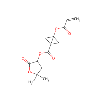 C=CC(=O)OC12CC1(C(=O)OC1CC(C)(C)OC1=O)C2